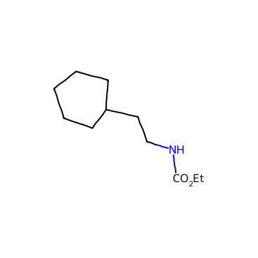 CCOC(=O)NCCC1CCCCC1